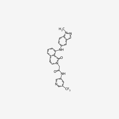 Cn1ncc2cc(Nc3cccc4ccn(CC(=O)Nc5cncc(C(F)(F)F)c5)c(=O)c34)ccc21